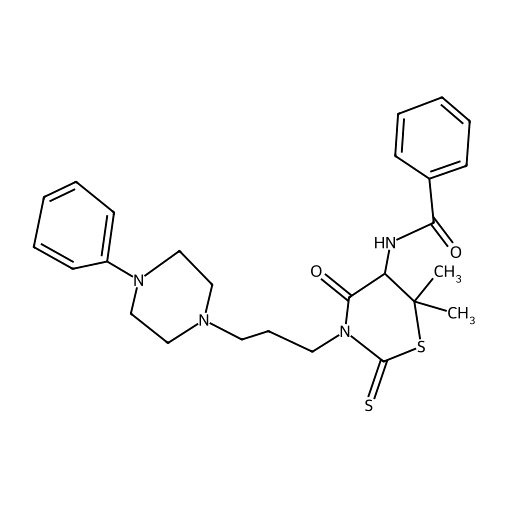 CC1(C)SC(=S)N(CCCN2CCN(c3ccccc3)CC2)C(=O)C1NC(=O)c1ccccc1